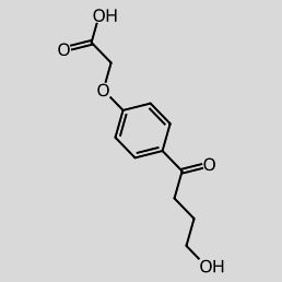 O=C(O)COc1ccc(C(=O)CCCO)cc1